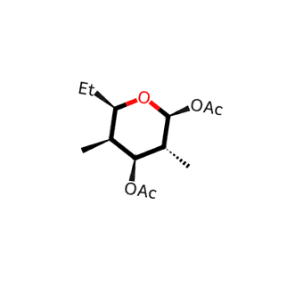 CC[C@H]1O[C@@H](OC(C)=O)[C@H](C)[C@@H](OC(C)=O)[C@H]1C